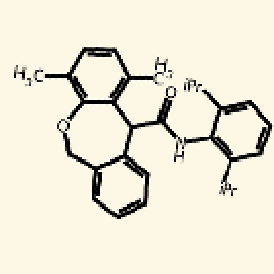 Cc1ccc(C)c2c1OCc1ccccc1C2C(=O)Nc1c(C(C)C)cccc1C(C)C